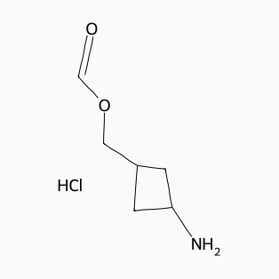 Cl.NC1CC(COC=O)C1